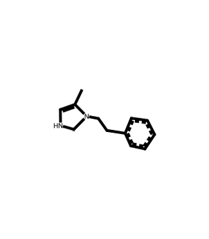 CC1=CN[C]N1CCc1ccccc1